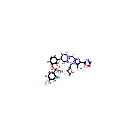 Cc1c(-c2ncco2)nc(CN2CCC(c3cccc4c3O[C@@](C)(c3ccc(Cl)cc3F)O4)CC2)n1C[C@@H]1CCO1